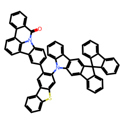 O=c1c2ccccc2c2cccc3c4cc(-c5cc6c(cc5-n5c7ccccc7c7cc8c(cc75)-c5ccccc5C85c7ccccc7-c7ccccc75)sc5ccccc56)ccc4n1c23